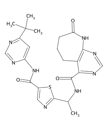 CC(NC(=O)c1ncnc2c1CCCC(=O)N2)c1ncc(C(=O)Nc2cc(C(C)(C)C)ncn2)s1